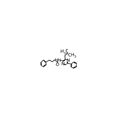 CC(C)Cc1nc(-c2ccccc2)cnc1NC(=O)CCCc1ccccc1